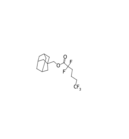 O=C(OCC12CC3CC(CC(C3)C1)C2)C(F)(F)CCCC(F)(F)F